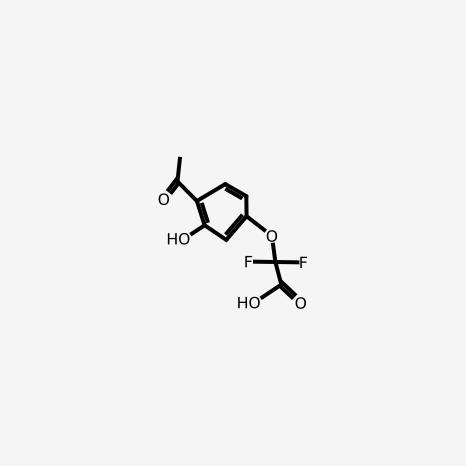 CC(=O)c1ccc(OC(F)(F)C(=O)O)cc1O